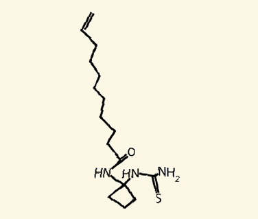 C=CCCCCCCCCC(=O)NC1(NC(N)=S)CCC1